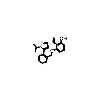 C=Cc1c(O)cccc1OCC1=C(c2ccnn2C(C)C)CCCC1